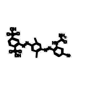 Cc1cc(N=Nc2cc(S(=O)(=O)O)ccc2S(=O)(=O)O)c(C)cc1N=Nc1ccc([N])cc1NC(N)=O